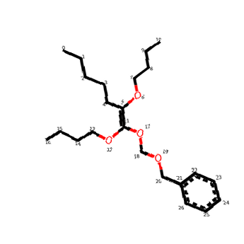 CCCCCC(OCCCC)=C(OCCCC)OCOCc1ccccc1